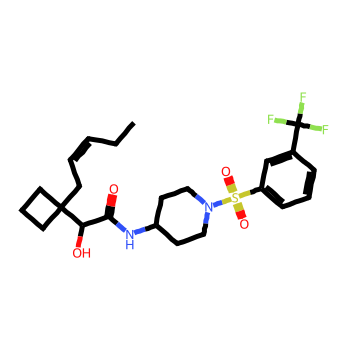 CC/C=C\CC1(C(O)C(=O)NC2CCN(S(=O)(=O)c3cccc(C(F)(F)F)c3)CC2)CCC1